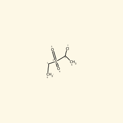 [CH2]CS(=O)(=O)C(C)Cl